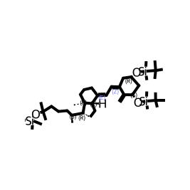 C=C1/C(=C\C=C2/CCC[C@]3(C)[C@@H]([C@@H](C)CCCC(C)(C)O[Si](C)(C)C)CC[C@@H]23)C[C@@H](O[Si](C)(C)C(C)(C)C)C[C@@H]1O[Si](C)(C)C(C)(C)C